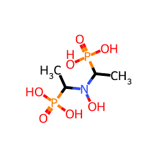 CC(N(O)C(C)P(=O)(O)O)P(=O)(O)O